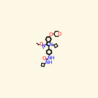 CCON(C)c1c(-c2ccc(NC(=O)NC3CCC3)cc2)n(C2CCC2)c2cc(OC3CCOCC3)ccc12